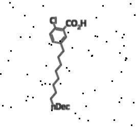 CCCCCCCCCCCCCCCCCCc1ccc(Cl)c(C(=O)O)c1